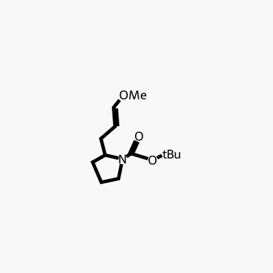 CO/C=C/CC1CCCN1C(=O)OC(C)(C)C